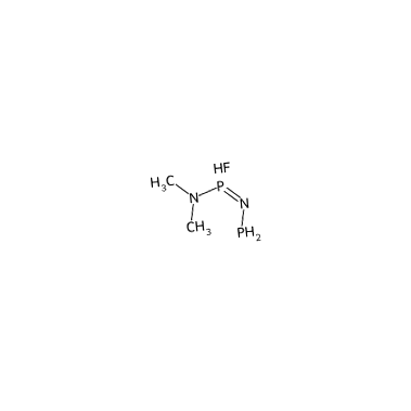 CN(C)/P=N\P.F